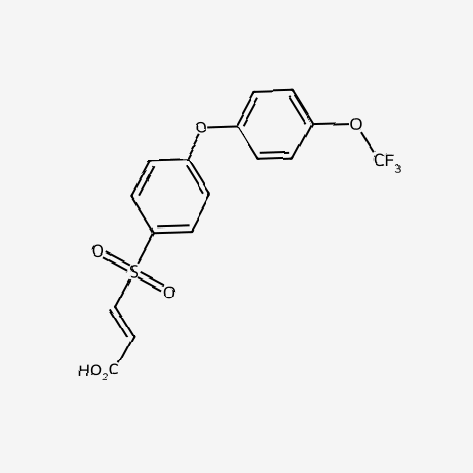 O=C(O)C=CS(=O)(=O)c1ccc(Oc2ccc(OC(F)(F)F)cc2)cc1